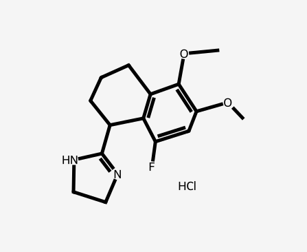 COc1cc(F)c2c(c1OC)CCCC2C1=NCCN1.Cl